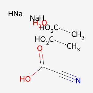 CC(=O)O.CC(=O)O.N#CC(=O)O.O.[NaH].[NaH]